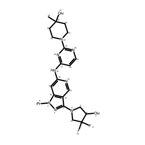 CC(C)n1nc(N2CC(O)C(F)(F)C2)c2cnc(Nc3ccnc(N4CCC(C)(O)CC4)n3)cc21